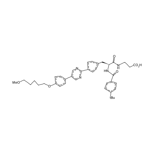 COCCCCCOc1ccc(-c2cnc(-c3ccc(C[C@H](NC(=O)c4ccc(C(C)(C)C)cc4)C(=O)NCCC(=O)O)cc3)nc2)cc1